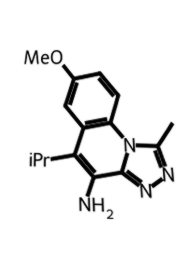 COc1ccc2c(c1)c(C(C)C)c(N)c1nnc(C)n12